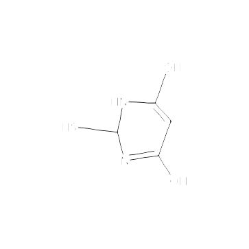 OC1=CC(O)=N[C](S)N1